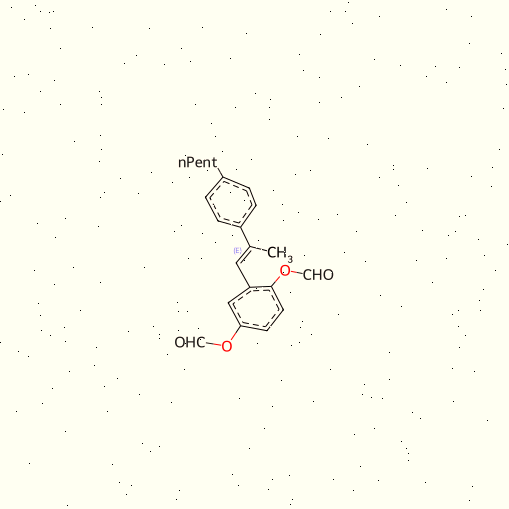 CCCCCc1ccc(/C(C)=C/c2cc(OC=O)ccc2OC=O)cc1